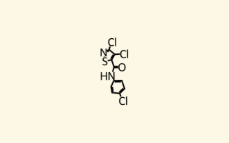 O=C(Nc1ccc(Cl)cc1)c1snc(Cl)c1Cl